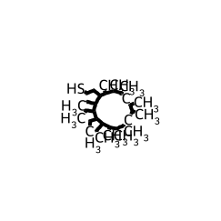 CCC1C(C)C(C)C(C)CC(C)C(C)CC(C)C(C)C(C)C(CCS)C(CC)C(CC)C1CC